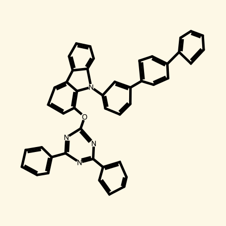 c1ccc(-c2ccc(-c3cccc(-n4c5ccccc5c5cccc(Oc6nc(-c7ccccc7)nc(-c7ccccc7)n6)c54)c3)cc2)cc1